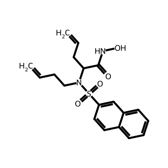 C=CCCN(C(CC=C)C(=O)NO)S(=O)(=O)c1ccc2ccccc2c1